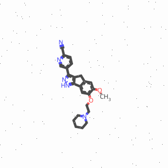 COc1cc2c(cc1OCCN1CCCCC1)-c1[nH]nc(-c3ccc(C#N)nc3)c1C2